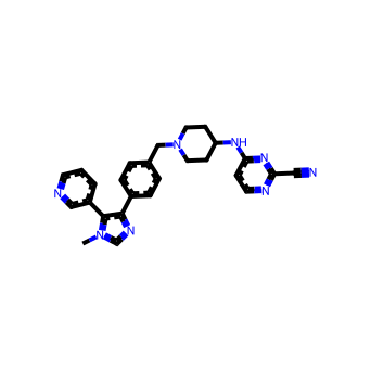 Cn1cnc(-c2ccc(CN3CCC(Nc4ccnc(C#N)n4)CC3)cc2)c1-c1cccnc1